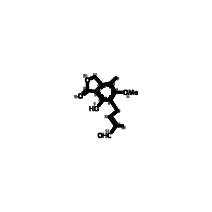 COc1c(C)c2c(c(O)c1CC=C(C)C=O)C(=O)OC2